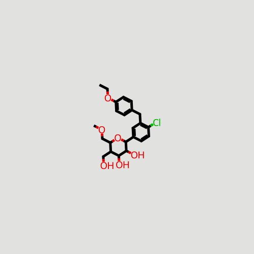 CCOc1ccc(Cc2cc(C3OC(COC)C(CO)C(O)C3O)ccc2Cl)cc1